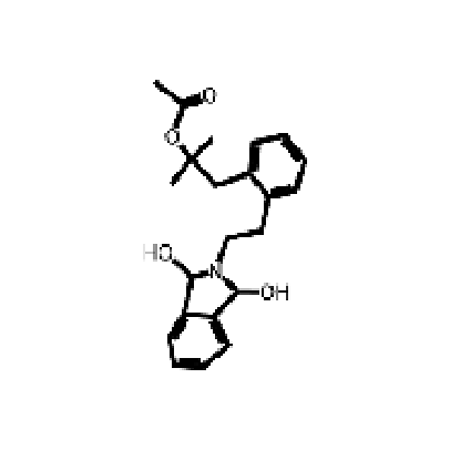 CC(=O)OC(C)(C)Cc1ccccc1CCN1C(O)c2ccccc2C1O